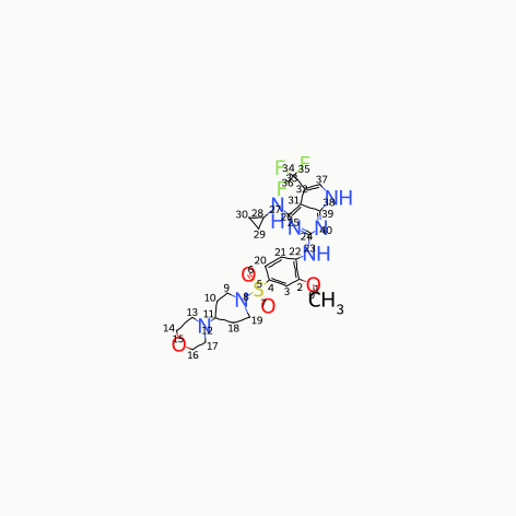 COc1cc(S(=O)(=O)N2CCC(N3CCOCC3)CC2)ccc1Nc1nc(NC2CC2)c2c(C(F)(F)F)c[nH]c2n1